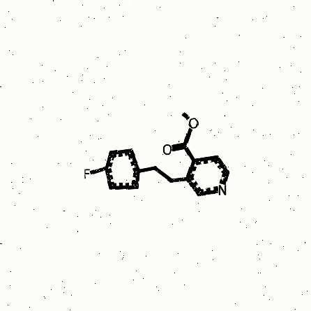 COC(=O)c1ccncc1CCc1ccc(F)cc1